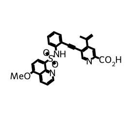 C=C(C)c1cc(C(=O)O)ncc1C#Cc1ccccc1NS(=O)(=O)c1ccc(OC)c2cccnc12